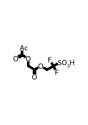 CC(=O)C(=O)OCC(=O)OCC(F)(F)S(=O)(=O)O